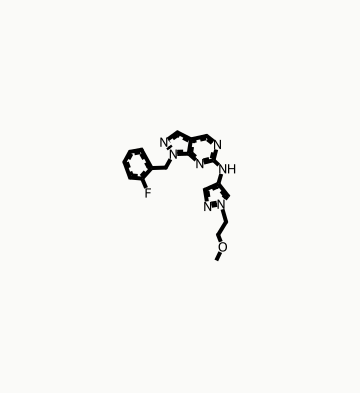 COCCn1cc(Nc2ncc3cnn(Cc4ccccc4F)c3n2)cn1